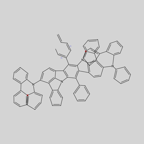 C=C/C=C\C(=C/C)c1c2c3ccc(N(c4ccccc4)c4ccccc4-c4ccccc4)c4c5ccccc5n(c2c(-c2ccccc2)c2c5ccc(N(c6ccccc6)c6ccccc6-c6ccccc6)c6c7ccccc7n(c12)c56)c34